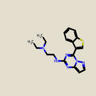 CCN(CC)CCNc1nc(-c2csc3ccccc23)n2nccc2n1